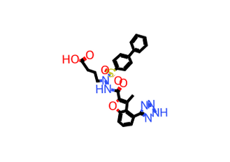 Cc1c(C(=O)NN(CCCC(=O)O)S(=O)(=O)c2ccc(-c3ccccc3)cc2)oc2cccc(-c3nn[nH]n3)c12